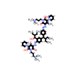 CCC(CC)C(O)c1cc(C(c2ccc(/N=N/c3c(C)c(-[n+]4ccccc4)c(O)n(CCCN(C)C)c3=O)cc2)C(CC)CC)ccc1/N=N/c1c(C)c(-[n+]2ccccc2)c(O)n(CCCN(C)C)c1=O